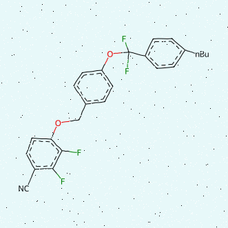 CCCCc1ccc(C(F)(F)Oc2ccc(COc3ccc(C#N)c(F)c3F)cc2)cc1